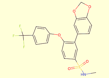 CNS(=O)(=O)c1ccc(Oc2ccc(C(F)(F)F)cc2)c(-c2ccc3c(c2)OCO3)c1